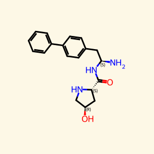 N[C@H](Cc1ccc(-c2ccccc2)cc1)NC(=O)[C@@H]1C[C@@H](O)CN1